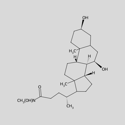 C[C@H](CCC(=O)N(C)O)C1CC[C@H]2[C@@H]3[C@H](O)CC4C[C@H](O)CCC4(C)[C@H]3CCC12C